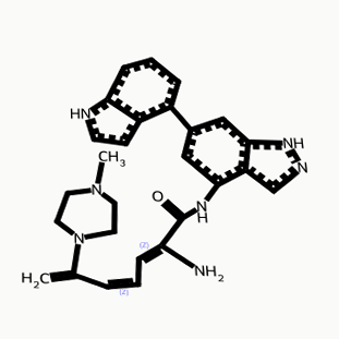 C=C(/C=C\C=C(/N)C(=O)Nc1cc(-c2cccc3[nH]ccc23)cc2[nH]ncc12)N1CCN(C)CC1